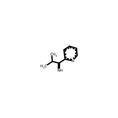 CC(C)C(=N)c1ccccn1